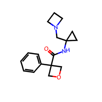 O=C(NC1(CN2CCC2)CC1)C1(c2ccccc2)COC1